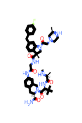 CN[C@@H](C)C(=O)N[C@H](C(=O)N1Cc2cc(NC(=O)CNC(=O)[C@@]3(C)CN(C(=O)CN4CCN[C@H](C)C4)c4cc(Cc5ccc(F)cc5)ccc43)ccc2C[C@H]1C(N)=O)C(C)(C)C